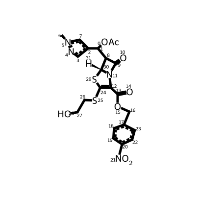 CC(=O)OC(c1cnn(C)c1)C1C(=O)N2C(C(=O)OCc3ccc([N+](=O)[O-])cc3)=C(SCCO)S[C@H]12